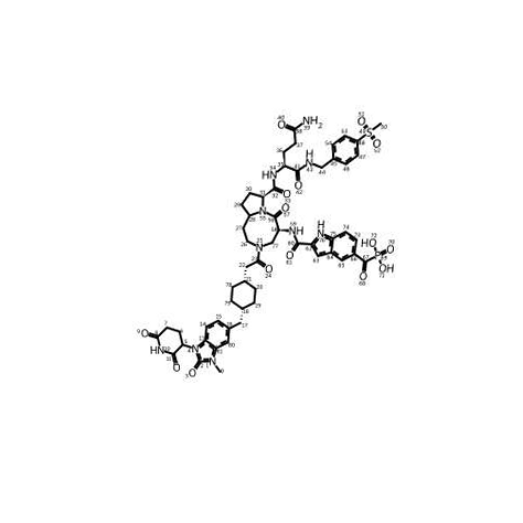 Cn1c(=O)n(C2CCC(=O)NC2=O)c2ccc(C[C@H]3CC[C@@H](CC(=O)N4CCC5CC[C@@H](C(=O)N[C@@H](CCC(N)=O)C(=O)NCc6ccc(S(C)(=O)=O)cc6)N5C(=O)[C@@H](NC(=O)c5cc6cc(C(=O)P(=O)(O)O)ccc6[nH]5)C4)CC3)cc21